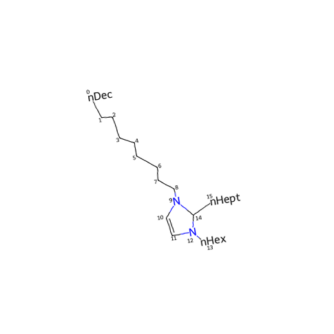 CCCCCCCCCCCCCCCCCCN1C=CN(CCCCCC)C1CCCCCCC